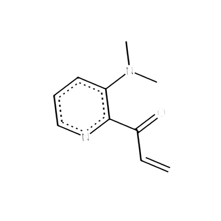 C=CC(=O)c1ncccc1N(C)C